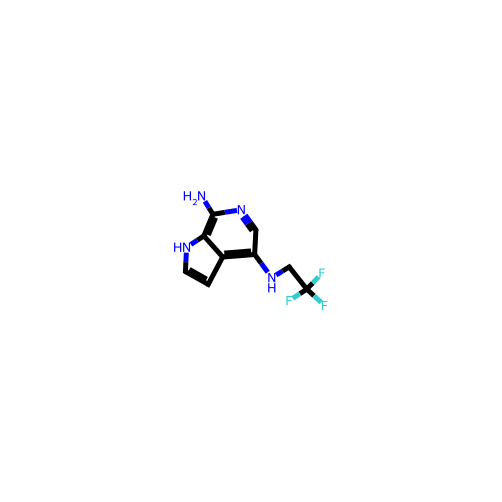 Nc1ncc(NCC(F)(F)F)c2cc[nH]c12